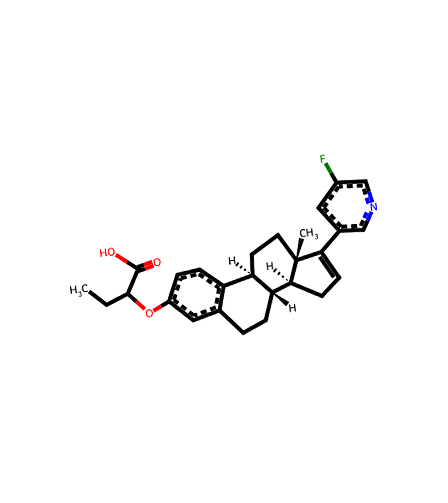 CCC(Oc1ccc2c(c1)CC[C@@H]1[C@@H]2CC[C@]2(C)C(c3cncc(F)c3)=CC[C@@H]12)C(=O)O